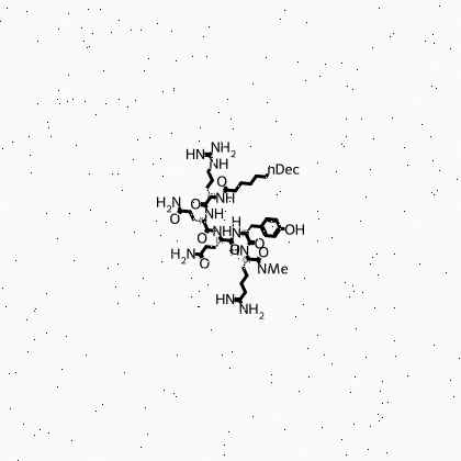 CCCCCCCCCCCCCCCC(=O)N[C@@H](CCCNC(=N)N)C(=O)N[C@@H](CCC(N)=O)C(=O)N[C@@H](CCC(N)=O)C(=O)N[C@@H](Cc1ccc(O)cc1)C(=O)N[C@@H](CCCCC(=N)N)C(=O)NC